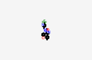 COc1cccc(C2=C(c3ccc(C)cc3)C=NN3OCN(Cc4ccc(C(F)(F)F)nc4)N=C23)c1